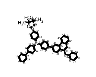 CC1(C)OB(c2ccc(N(c3ccc(-c4ccccc4)cc3)c3ccc(-c4ccc5c(Cc6ccccc6)cc6ccccc6c5c4)cc3)cc2)OC1(C)C